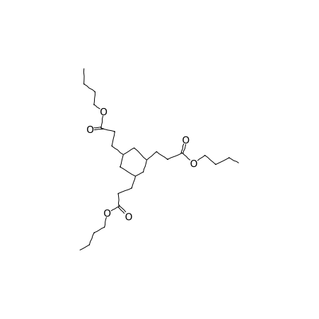 CCCCOC(=O)CCC1CC(CCC(=O)OCCCC)CC(CCC(=O)OCCCC)C1